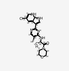 C[C@@H](Nc1nc(C2=CNC3NC=C(Cl)C=C23)ncc1F)C(=O)N1CCOCC1